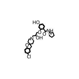 O=C(NN1CCCC1)c1ccc(O)cc1OC[C@H](O)CN1CCC2(CC1)Cc1cc(Cl)ccc1O2